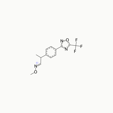 CO/N=C/C(C)c1ccc(-c2noc(C(F)(F)F)n2)cc1